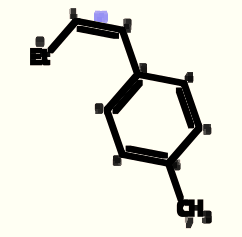 CC/C=[C]\c1ccc(C)cc1